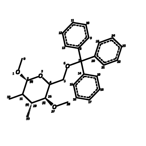 CO[C@@H]1OC(COC(c2ccccc2)(c2ccccc2)c2ccccc2)[C@@H](OC)[C@H](C)C1C